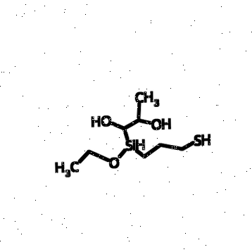 CCO[SiH](CCCS)C(O)C(C)O